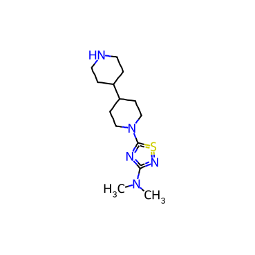 CN(C)c1nsc(N2CCC(C3CCNCC3)CC2)n1